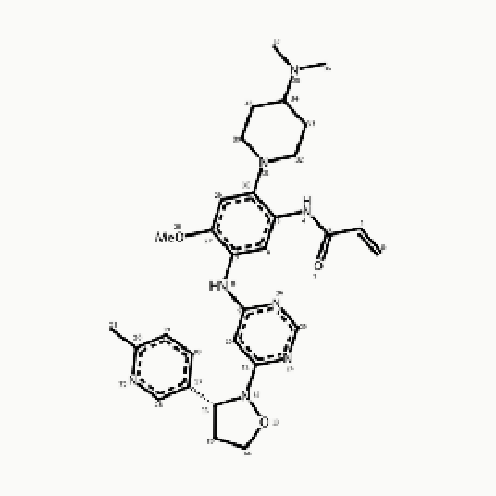 C=CC(=O)Nc1cc(Nc2cc(N3OCC[C@@H]3c3ccc(C)nc3)ncn2)c(OC)cc1N1CCC(N(C)C)CC1